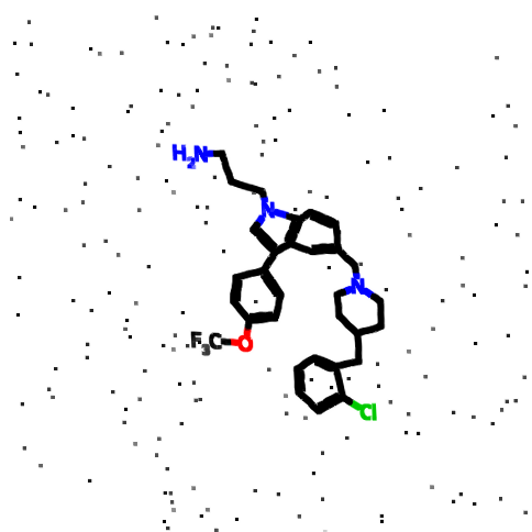 NCCCn1cc(-c2ccc(OC(F)(F)F)cc2)c2cc(CN3CCC(Cc4ccccc4Cl)CC3)ccc21